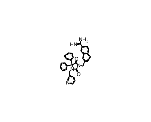 N=C(N)c1ccc2ccc(CN3C(=O)N(Cc4cccnc4)C(c4ccccc4)(c4ccccc4)C3=O)cc2c1